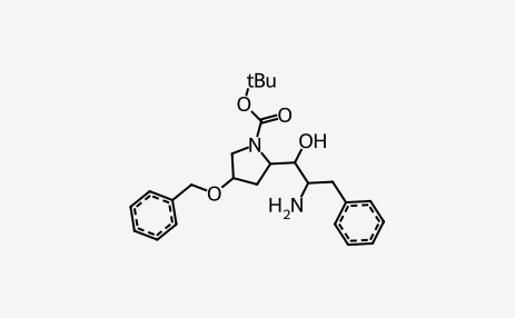 CC(C)(C)OC(=O)N1CC(OCc2ccccc2)CC1C(O)C(N)Cc1ccccc1